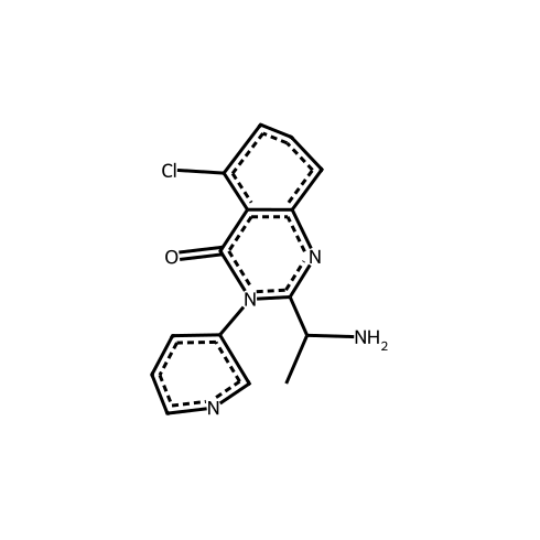 CC(N)c1nc2cccc(Cl)c2c(=O)n1-c1cccnc1